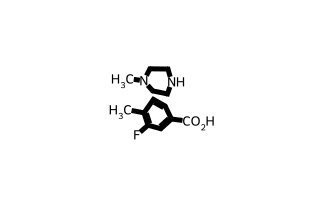 CN1CCNCC1.Cc1ccc(C(=O)O)cc1F